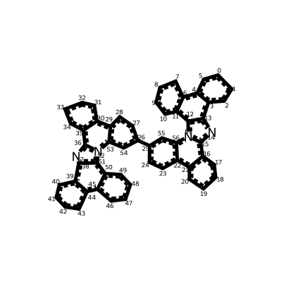 c1ccc2c(c1)c1ccccc1c1c2nc2c3ccccc3c3ccc(-c4ccc5c6ccccc6c6nc7c8ccccc8c8ccccc8c7n6c5c4)cc3n21